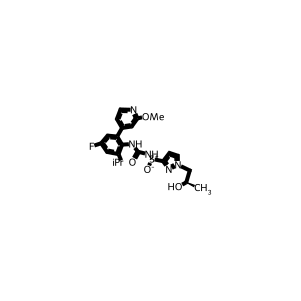 COc1cc(-c2cc(F)cc(C(C)C)c2NC(=O)N[S+]([O-])c2ccn(C[C@@H](C)O)n2)ccn1